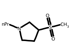 CCCN1CCC(S(C)(=O)=O)C1